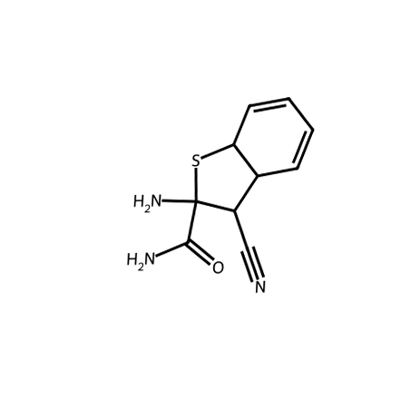 N#CC1C2C=CC=CC2SC1(N)C(N)=O